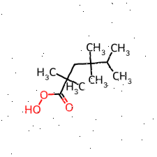 CC(C)C(C)(C)CC(C)(C)C(=O)OO